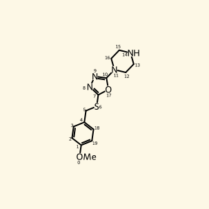 COc1ccc(CSc2nnc(N3CCNCC3)o2)cc1